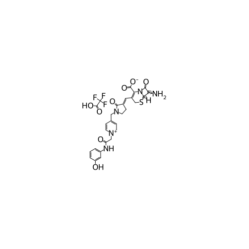 N[C@@H]1C(=O)N2C(C(=O)[O-])=C(C=C3CCN(Cc4cc[n+](CC(=O)Nc5cccc(O)c5)cc4)C3=O)CS[C@H]12.O=C(O)C(F)(F)F